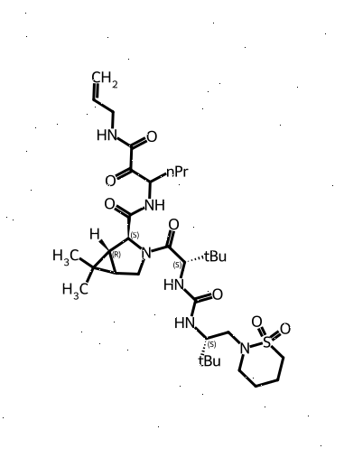 C=CCNC(=O)C(=O)C(CCC)NC(=O)[C@@H]1[C@@H]2C(CN1C(=O)[C@@H](NC(=O)N[C@H](CN1CCCCS1(=O)=O)C(C)(C)C)C(C)(C)C)C2(C)C